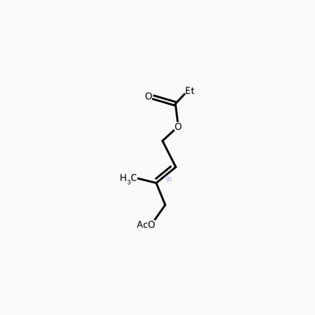 CCC(=O)OC/C=C(\C)COC(C)=O